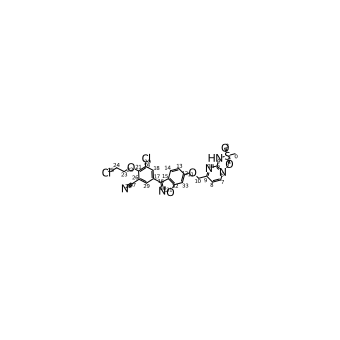 CS(=O)(=O)Nc1nccc(COc2ccc3c(-c4cc(Cl)c(OCCCl)c(C#N)c4)noc3c2)n1